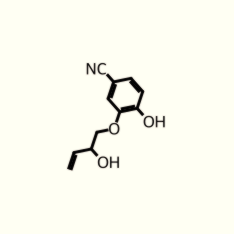 C=CC(O)COc1cc(C#N)ccc1O